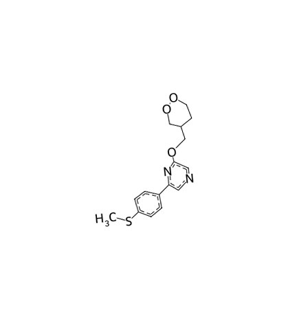 CSc1ccc(-c2cncc(OCC3CCOOC3)n2)cc1